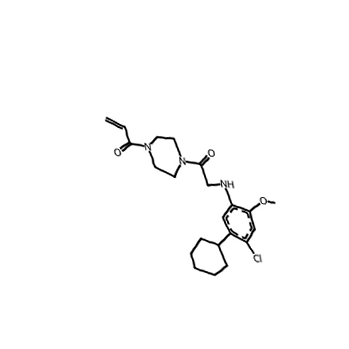 C=CC(=O)N1CCN(C(=O)CNc2cc(C3CCCCC3)c(Cl)cc2OC)CC1